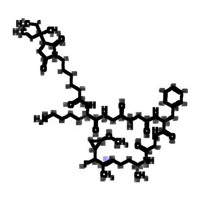 CCC(C)(CC)C1CC(=O)N(CCCCCC(=O)N[C@@H](CCCCN)C(=O)NCC(=O)NCC(=O)N[C@@H](Cc2ccccc2)C(=O)NCC(=O)N[C@H](C)CC/C=C(\C)C(F)C2C[C@H]2OC)C1=O